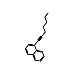 CCCCCC#Cc1cccc2ccccc12